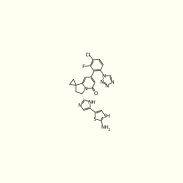 NC1=[SH]C=C(c2cnc([C@@H]3CC4(CC4)c4cc(-c5c(-n6cnnn6)ccc(Cl)c5F)cc(=O)n43)[nH]2)S1